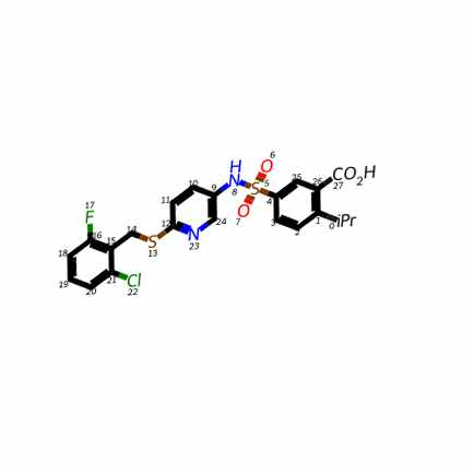 CC(C)c1ccc(S(=O)(=O)Nc2ccc(SCc3c(F)cccc3Cl)nc2)cc1C(=O)O